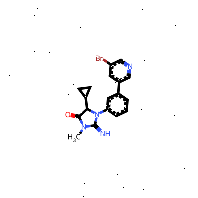 CN1C(=N)N(c2cccc(-c3cncc(Br)c3)c2)C(C2CC2)C1=O